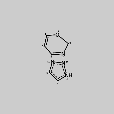 C1=COCN=C1.c1c[nH]nn1